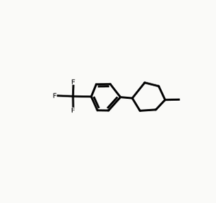 CC1CCC(c2ccc(C(F)(F)F)cc2)CC1